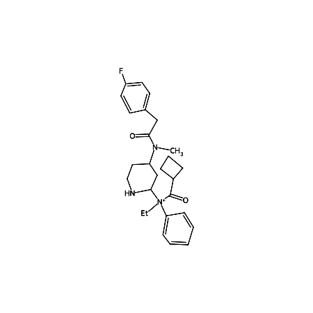 CC[N+](C(=O)C1CCC1)(c1ccccc1)C1CC(N(C)C(=O)Cc2ccc(F)cc2)CCN1